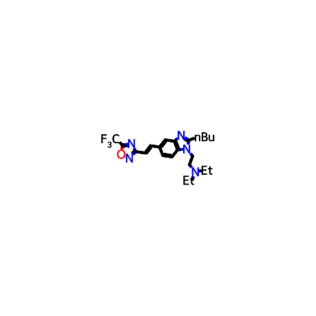 CCCCc1nc2cc(/C=C/c3noc(C(F)(F)F)n3)ccc2n1CCN(CC)CC